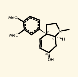 COc1ccc([C@@]23C=C[C@H](O)C[C@@H]2N(C)CC3)cc1OC